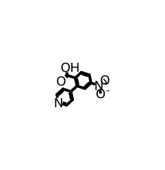 O=C(O)c1ccc([N+](=O)[O-])cc1-c1ccncc1